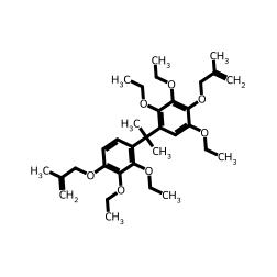 C=C(C)COc1ccc(C(C)(C)c2cc(OCC)c(OCC(=C)C)c(OCC)c2OCC)c(OCC)c1OCC